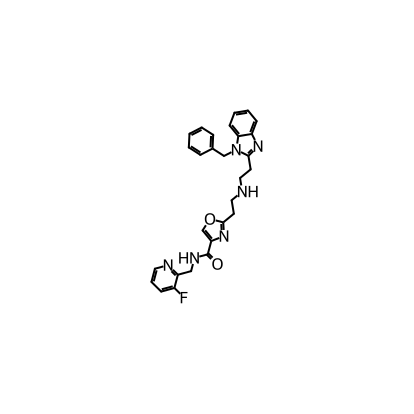 O=C(NCc1ncccc1F)c1coc(CCNCCc2nc3ccccc3n2Cc2ccccc2)n1